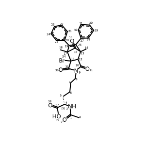 CC(=O)N[C@@H](CCCCN1C(=O)C2C3(C)C(=O)C(C)(C(c4ccccc4)=C3c3ccccc3)C2(Br)C1=O)C(=O)O